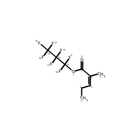 CCC=C(C)C(=O)OC(F)(F)C(F)(F)C(F)(F)F